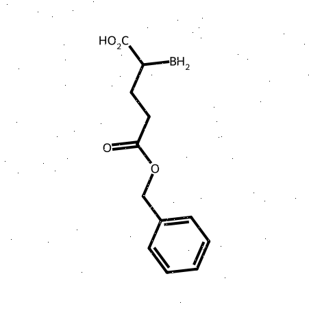 BC(CCC(=O)OCc1ccccc1)C(=O)O